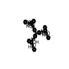 O=C(Nc1ccccc1)c1cc2ccccc2c(N=Nc2ccc(N(c3ccc(N=Nc4c(O)c(C(=O)Nc5ccccc5)cc5ccccc45)cc3)c3ccc(N=Nc4c(O)c(C(=O)Nc5ccccc5)cc5ccccc45)cc3)cc2)c1O